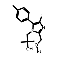 CCOCc1nc(I)c(-c2ccc(C)cc2)n1CC(C)(C)O